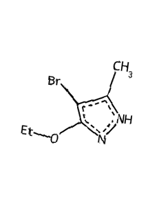 CCOc1n[nH]c(C)c1Br